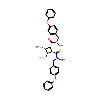 CCCN(Cc1ccc(Oc2ccccc2)cc1)C(=O)[C@H]1[C@@H](C(=O)O)[C@H](C(=O)OCC)[C@@H]1C(=O)N(CCC)Cc1ccc(Oc2ccccc2)cc1